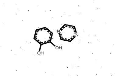 Oc1ccccc1O.c1cnccn1